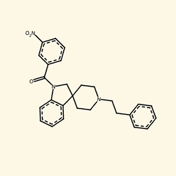 O=C(c1cccc([N+](=O)[O-])c1)N1CC2(CCN(CCc3ccccc3)CC2)c2ccccc21